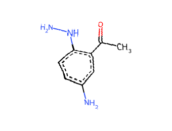 CC(=O)c1cc(N)ccc1NN